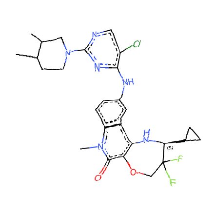 CC1CCN(c2ncc(Cl)c(Nc3ccc4c(c3)c3c(c(=O)n4C)OCC(F)(F)[C@H](C4CC4)N3)n2)CC1C